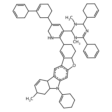 CC1C=CC2c3cc4c(cc3N(C3=CCCCC3)C2C1)OC1CCC(C2=C(C3N(C)C(C5C=CC=CC5)=NC(C5C=CCCC5)N3C)C=C(C3CCC=C(C5C=CC=CC5)C3)CN2)C=C41